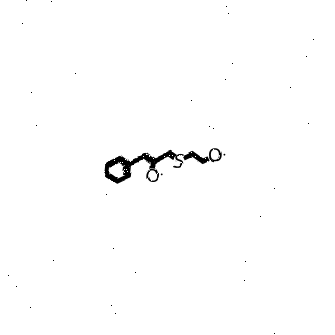 [O]CCSCC([O])Cc1ccccc1